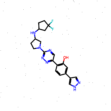 Oc1cc(-c2cn[nH]c2)ccc1-c1cnc(N2CCC(NC3CCC(F)(F)C3)C2)nn1